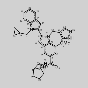 COc1cc(C(=O)N2CC3CCC2[C@@H]3N)cc2nc(-c3cc4cccnc4n3CC3CC3)n(Cc3cn[nH]c3)c12